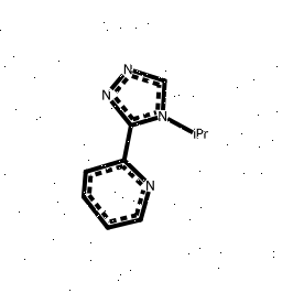 CC(C)n1cnnc1-c1ccccn1